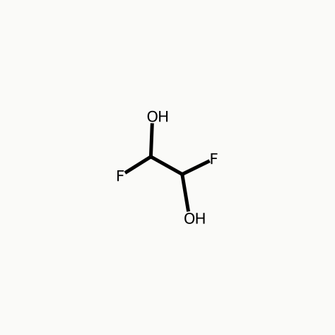 OC(F)C(O)F